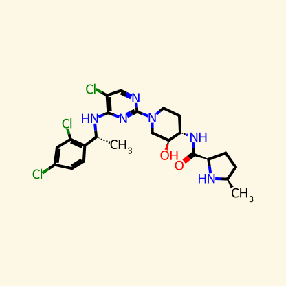 C[C@@H]1CC[C@H](C(=O)N[C@H]2CCN(c3ncc(Cl)c(N[C@H](C)c4ccc(Cl)cc4Cl)n3)C[C@@H]2O)N1